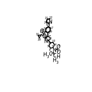 CC(C)N(C(=O)O)C1CCC(c2ncc(-c3ccc(-n4cccn4)cc3S(=O)(=O)C3CC3)s2)CC1